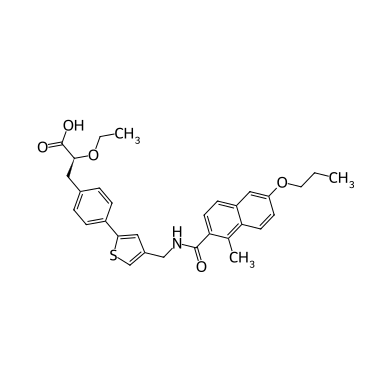 CCCOc1ccc2c(C)c(C(=O)NCc3csc(-c4ccc(C[C@H](OCC)C(=O)O)cc4)c3)ccc2c1